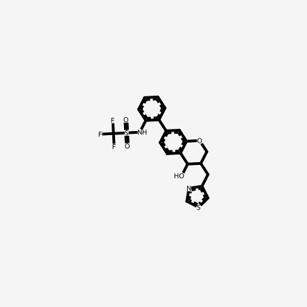 O=S(=O)(Nc1ccccc1-c1ccc2c(c1)OCC(Cc1cscn1)C2O)C(F)(F)F